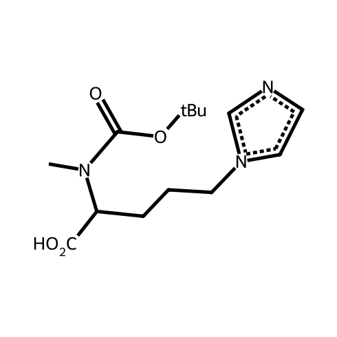 CN(C(=O)OC(C)(C)C)C(CCCn1ccnc1)C(=O)O